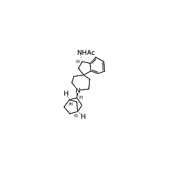 CC(=O)N[C@H]1CC2(CCN([C@H]3C[C@H]4CC[C@@H]3C4)CC2)c2ccccc21